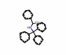 O=C(O)C(NC(c1ccccc1)(c1ccccc1)c1ccccc1)c1ccccc1